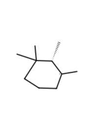 C[C]1CCCC(C)(C)[C@@H]1C